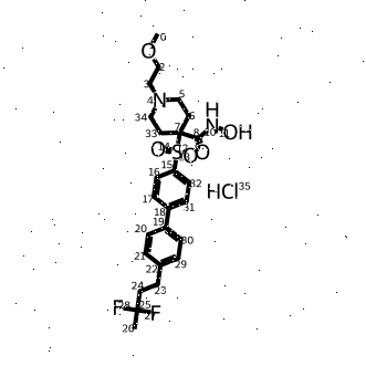 COCCN1CCC(C(=O)NO)(S(=O)(=O)c2ccc(-c3ccc(CCC(C)(F)F)cc3)cc2)CC1.Cl